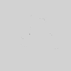 Cc1cc(Nc2ccc(F)cc2)c(C=N)cc1[C@]12CN(S(=O)(=O)c3ccccc3)C[C@H]1[C@@H]2c1ccccc1